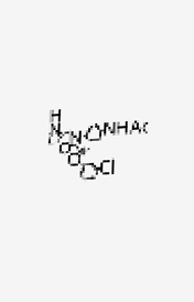 CC(=O)Nc1ccc(N(CC2CCCN2)C(=O)[C@@H](C)Oc2cccc(Cl)c2)cc1